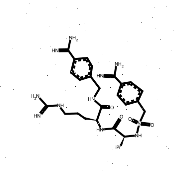 CC(C)[C@H](NS(=O)(=O)Cc1ccc(C(=N)N)cc1)C(=O)N[C@@H](CCCNC(=N)N)C(=O)NCc1ccc(C(=N)N)cc1